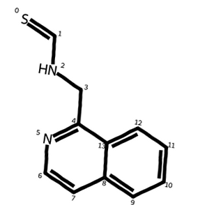 S=CNCc1nccc2ccccc12